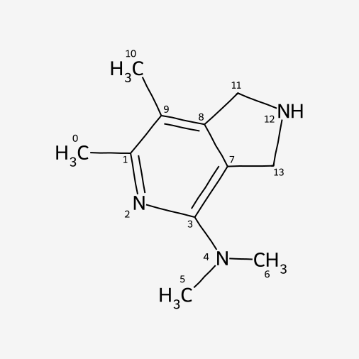 Cc1nc(N(C)C)c2c(c1C)CNC2